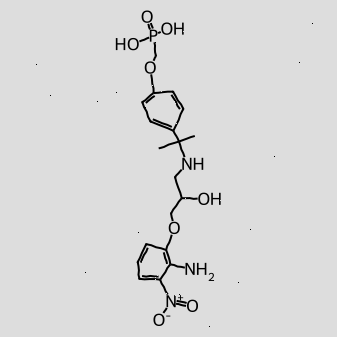 CC(C)(NCC(O)COc1cccc([N+](=O)[O-])c1N)c1ccc(OCP(=O)(O)O)cc1